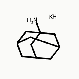 NC12CC3CC(CC(C3)C1)C2.[KH]